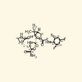 CC1(C)[C@@H]2[C@@H](C(=O)N[C@@H](C[C@@H]3CCNC3=O)C(=O)C(N)=O)N(C(=O)CNc3c(F)cc(F)cc3F)C[C@@H]21